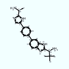 C[C@H](N)c1ncc(-c2ccc(-c3ccc4nc([C@@H](N)C(C)(C)C)[nH]c4c3)cc2)[nH]1